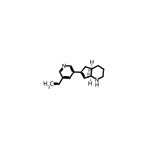 C=Cc1cncc(C2=C[C@@H]3NCCC[C@@H]3C2)c1